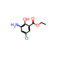 CCOC(=O)c1cc(Cl)cc(N)c1O